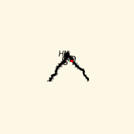 CCCCCC#CCC#CCCCCCCCC(=O)OCC1CNCC1COC(=O)CCCCCCCC#CCC#CCCCCC